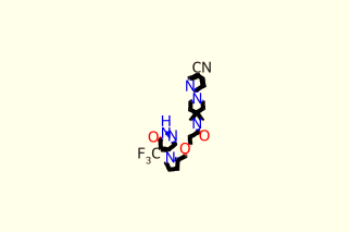 N#Cc1ccc(N2CCC3(CC2)CN(C(=O)CCOCC2CCCN2c2cn[nH]c(=O)c2C(F)(F)F)C3)nc1